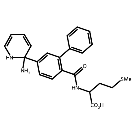 CSCCC(NC(=O)c1ccc(C2(N)C=CC=CN2)cc1-c1ccccc1)C(=O)O